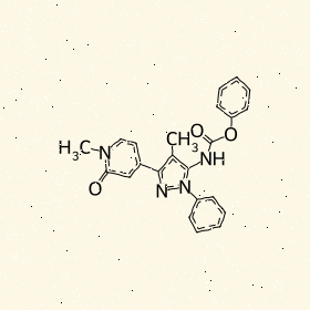 Cc1c(-c2ccn(C)c(=O)c2)nn(-c2ccccc2)c1NC(=O)Oc1ccccc1